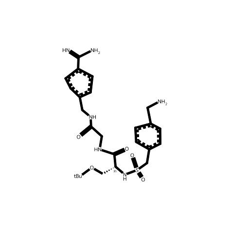 CC(C)(C)OC[C@@H](NS(=O)(=O)Cc1ccc(CN)cc1)C(=O)NCC(=O)NCc1ccc(C(=N)N)cc1